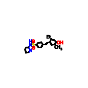 CCc1cc(O)c(C)cc1/C=C/c1ccc(S(=O)(=O)Nc2ccccn2)cc1